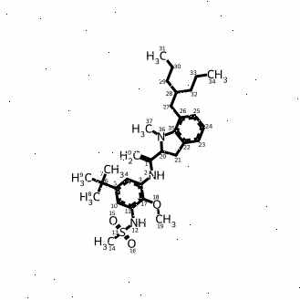 C=C(Nc1cc(C(C)(C)C)cc(NS(C)(=O)=O)c1OC)C1Cc2cccc(CC(CCC)CCC)c2N1C